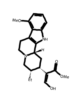 CC[C@@H]1CN2CCc3c([nH]c4cccc(OC)c34)[C@@H]2C[C@@H]1/C(=C/O)C(=O)OC